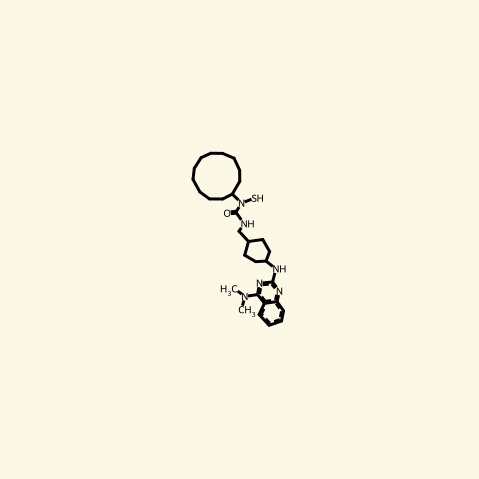 CN(C)c1nc(NC2CCC(CNC(=O)N(S)C3CCCCCCCCCCC3)CC2)nc2ccccc12